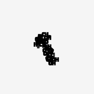 C[C@@H]1CC(=O)N1[C@@H](C(=O)O)[C@](C)(/C=N/NC(=O)C1CCCN1C(=O)c1ccc(O)c(O)c1Cl)[SH](=O)=O